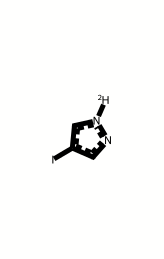 [2H]n1cc(I)cn1